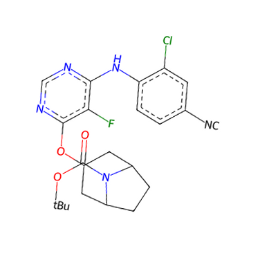 [C-]#[N+]c1ccc(Nc2ncnc(OC3CC4CCC(C3)N4C(=O)OC(C)(C)C)c2F)c(Cl)c1